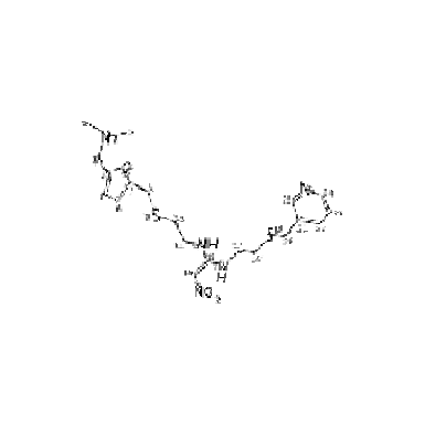 CN(C)Cc1ccc(CSCCN/C(=C/[N+](=O)[O-])NCCSCc2cccnc2)o1